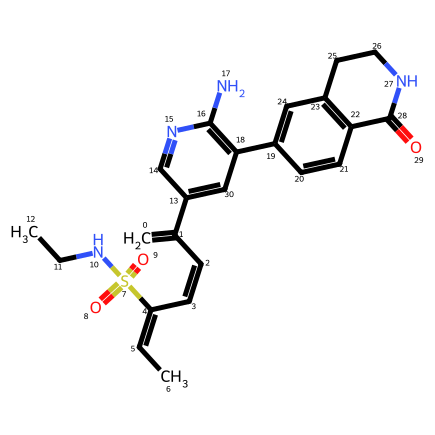 C=C(/C=C\C(=C/C)S(=O)(=O)NCC)c1cnc(N)c(-c2ccc3c(c2)CCNC3=O)c1